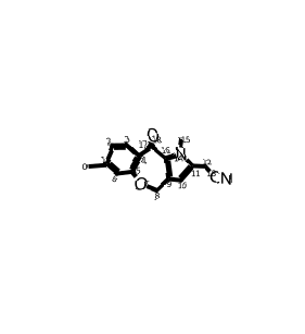 Cc1ccc2c(c1)OCc1cc(CC#N)n(C)c1C2=O